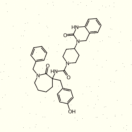 O=C(NC1(Cc2ccc(O)cc2)CCCCN(Cc2ccccc2)C1=O)N1CCC(N2Cc3ccccc3NC2=O)CC1